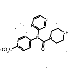 CCOC(=O)c1ccc(N(C(=O)N2CCNCC2)c2cnccn2)cc1